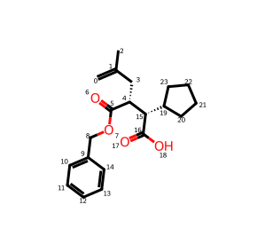 C=C(C)C[C@@H](C(=O)OCc1ccccc1)[C@@H](C(=O)O)C1CCCC1